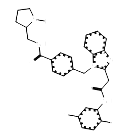 CCN1CCCC1CNC(=O)c1ccc(Cn2c(CC(=O)Nc3cc(C(C)C)ccc3C)nc3ccccc32)cc1